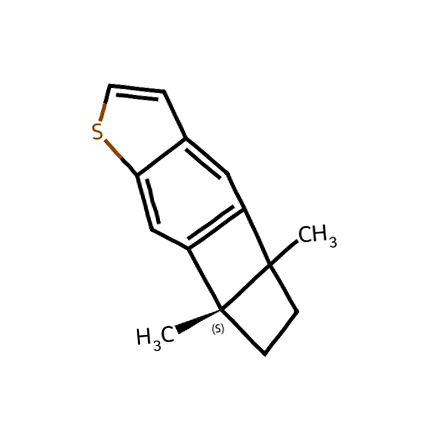 CC12CC[C@]1(C)c1cc3sccc3cc12